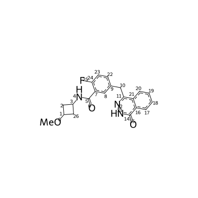 COC1CC(NC(=O)c2cc(Cc3n[nH]c(=O)c4ccccc34)ccc2F)C1